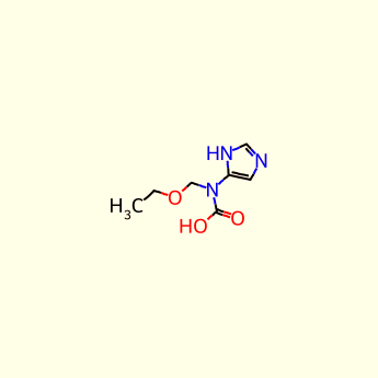 CCOCN(C(=O)O)c1cnc[nH]1